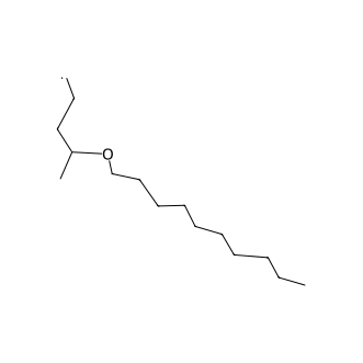 [CH2]CCC(C)OCCCCCCCCCC